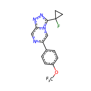 FC(F)(F)Oc1ccc(-c2cn3c(C4(F)CC4)nnc3cn2)cc1